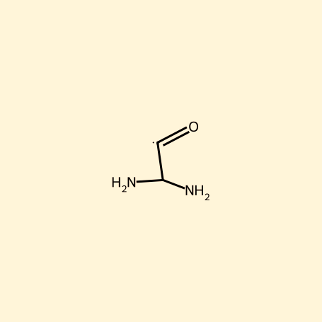 NC(N)[C]=O